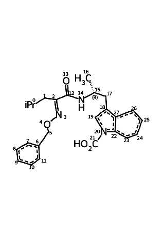 CC(C)CC(=NOCc1ccccc1)C(=O)N[C@H](C)Cc1cn(C(=O)O)c2ccccc12